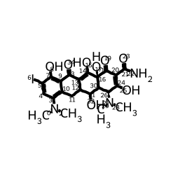 CN(C)c1cc(I)c(O)c2c1CC1C(=C(O)[C@]3(O)C(=O)C(C(N)=O)=C(O)[C@@H](N(C)C)C3C1O)C2=O